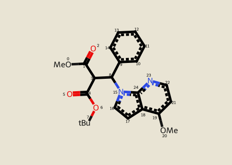 COC(=O)C(C(=O)OC(C)(C)C)C(c1ccccc1)n1ccc2c(OC)ccnc21